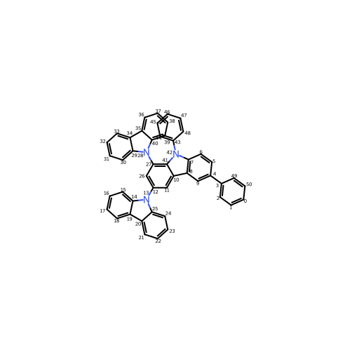 c1ccc(-c2ccc3c(c2)c2cc(-n4c5ccccc5c5ccccc54)cc(-n4c5ccccc5c5ccccc54)c2n3-c2ccccc2)cc1